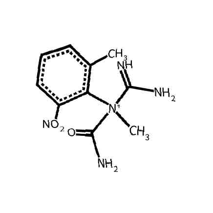 Cc1cccc([N+](=O)[O-])c1[N+](C)(C(=N)N)C(N)=O